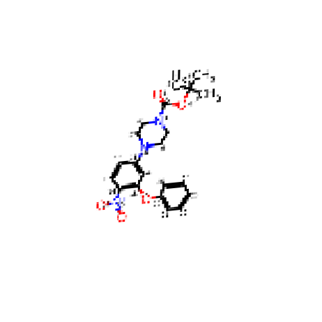 CC(C)(C)OC(=O)N1CCN(c2ccc([N+](=O)[O-])c(Oc3ccccc3)c2)CC1